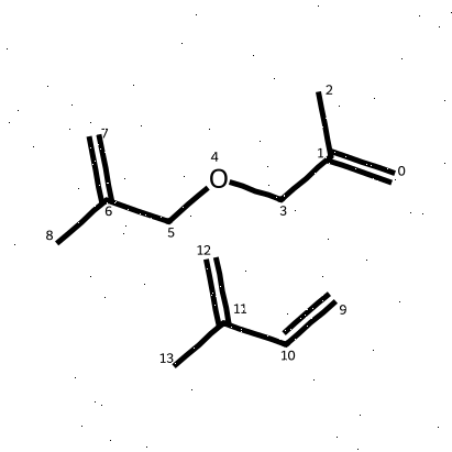 C=C(C)COCC(=C)C.C=CC(=C)C